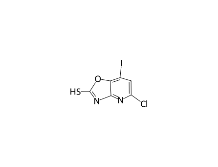 Sc1nc2nc(Cl)cc(I)c2o1